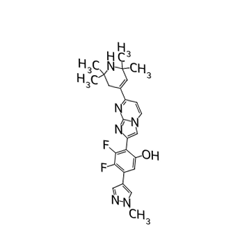 Cn1cc(-c2cc(O)c(-c3cn4ccc(C5=CC(C)(C)NC(C)(C)C5)nc4n3)c(F)c2F)cn1